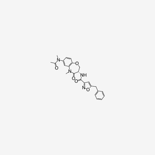 CC(=O)N(C)c1ccc2c(c1)N(C)C(=O)[C@@H](NC(=O)c1cc(Cc3ccccc3)on1)CO2